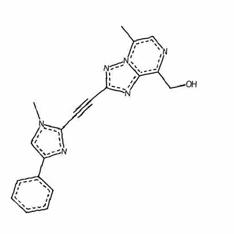 Cc1cnc(CO)c2nc(C#Cc3nc(-c4ccccc4)cn3C)nn12